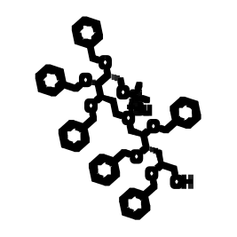 CC(C)(C)[Si](C)(C)OC[C@@H](OCc1ccccc1)[C@@H](OCc1ccccc1)[C@@H](CCOC[C@@H](OCc1ccccc1)[C@H](C[C@@H](CO)OCc1ccccc1)OCc1ccccc1)OCc1ccccc1